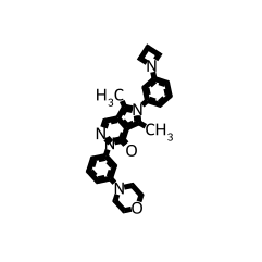 Cc1c2cnn(-c3cccc(N4CCOCC4)c3)c(=O)c2c(C)n1-c1cccc(N2CCC2)c1